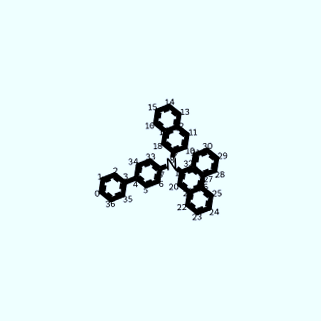 c1ccc(-c2ccc(N(c3ccc4ccccc4c3)c3cc4ccccc4c4ccccc34)cc2)cc1